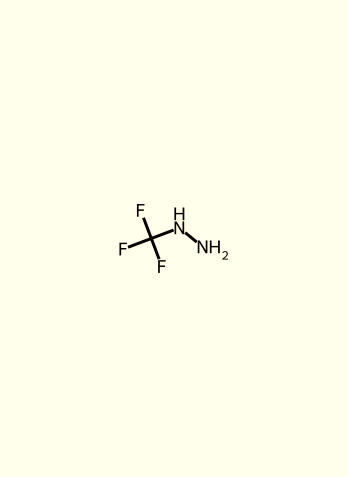 NNC(F)(F)F